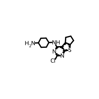 NC1CCC(Nc2nc(Cl)nc3sc4c(c23)CCC4)CC1